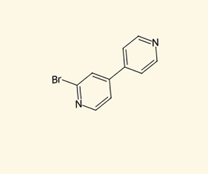 Brc1cc(-c2ccncc2)ccn1